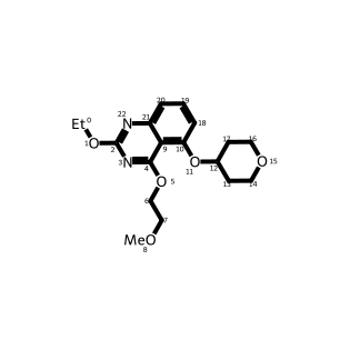 CCOc1nc(OCCOC)c2c(OC3CCOCC3)cccc2n1